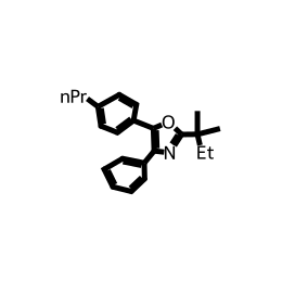 CCCc1ccc(-c2oc(C(C)(C)CC)nc2-c2ccccc2)cc1